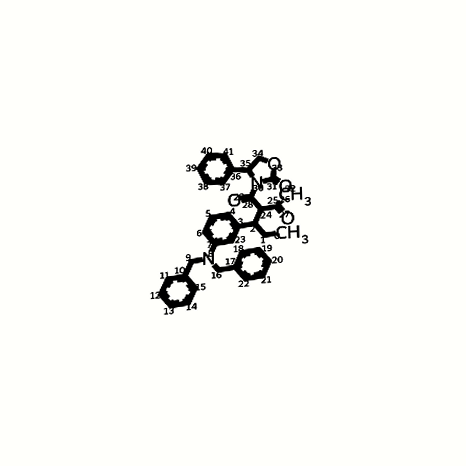 CCC(c1cccc(N(Cc2ccccc2)Cc2ccccc2)c1)C(C(C)=O)C(=O)N1C(=O)OCC1c1ccccc1